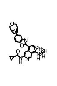 [2H]C([2H])([2H])Nc1ncc(-c2nc3cc(N4C5CCC4COC5)ccc3o2)c2cc(NC(=O)C3CC3)ncc12